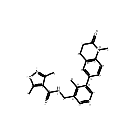 Cc1noc(C)c1C(=O)NCc1cncc(-c2ccc3c(c2)CCC(=O)N3C)c1C